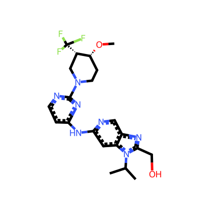 CO[C@@H]1CCN(c2nccc(Nc3cc4c(cn3)nc(CO)n4C(C)C)n2)C[C@@H]1C(F)(F)F